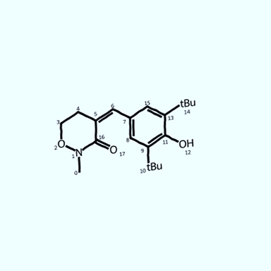 CN1OCCC(=Cc2cc(C(C)(C)C)c(O)c(C(C)(C)C)c2)C1=O